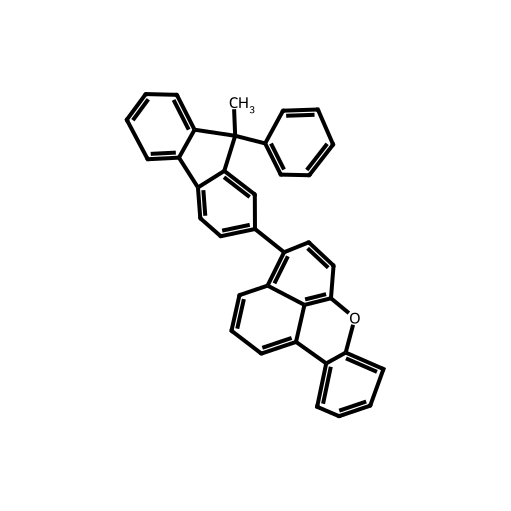 CC1(c2ccccc2)c2ccccc2-c2ccc(-c3ccc4c5c(cccc35)-c3ccccc3O4)cc21